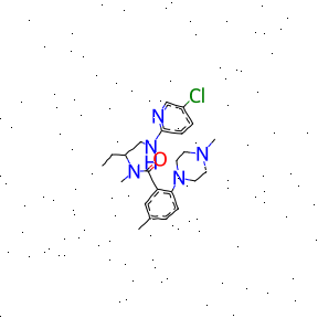 CCC(CNc1ccc(Cl)cn1)N(C)C(=O)c1cc(C)ccc1N1CCN(C)CC1